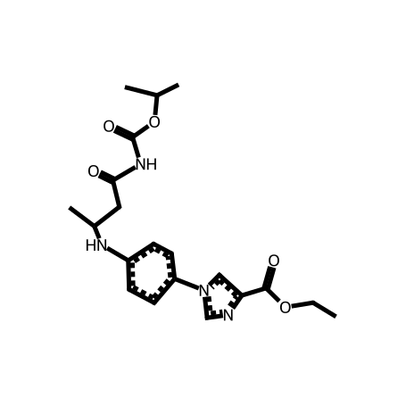 CCOC(=O)c1cn(-c2ccc(NC(C)CC(=O)NC(=O)OC(C)C)cc2)cn1